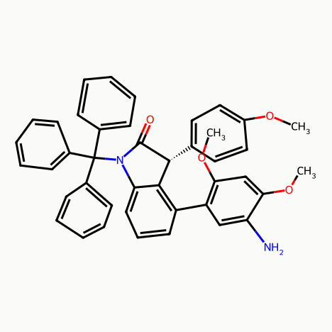 COc1ccc([C@H]2C(=O)N(C(c3ccccc3)(c3ccccc3)c3ccccc3)c3cccc(-c4cc(N)c(OC)cc4OC)c32)cc1